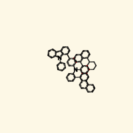 c1ccc(-n2c3ccccc3c3cccc(-c4ccc(N(c5ccccc5-c5cccc6c5ccc5ccccc56)c5ccccc5-c5cccc6cccc(C7CCCCC7)c56)cc4)c32)cc1